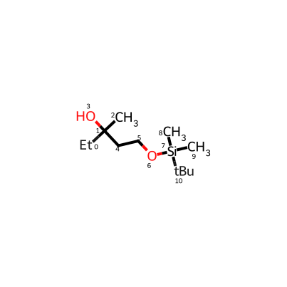 CCC(C)(O)CCO[Si](C)(C)C(C)(C)C